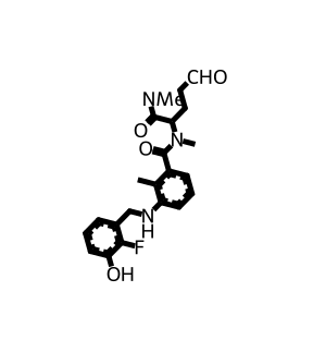 CNC(=O)C(CCC=O)N(C)C(=O)c1cccc(NCc2cccc(O)c2F)c1C